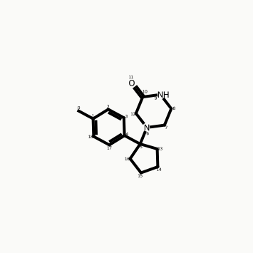 Cc1ccc(C2(N3CCNC(=O)C3)CCCC2)cc1